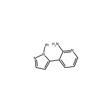 CC(C)n1nccc1-c1cccnc1N